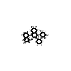 Pc1c(-c2ccccc2)c(-c2ccccc2)c2ccccc2c1-c1cccc2ccccc12